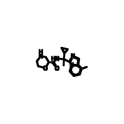 Cc1cccn2c(C(C)(NC(=O)[C@@H]3CNCCO3)C3CC3)ncc12